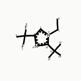 CCn1cc(C(C)(F)F)nc1C(C)(C)C